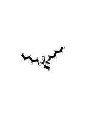 C=CP(=O)(OCCCCC)OCCCCC